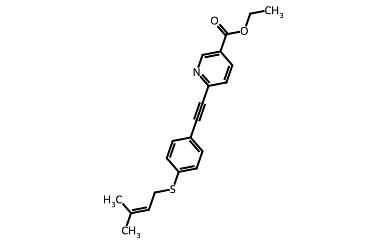 CCOC(=O)c1ccc(C#Cc2ccc(SCC=C(C)C)cc2)nc1